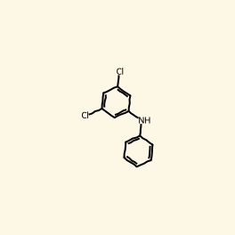 Clc1cc(Cl)cc(Nc2ccccc2)c1